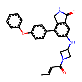 CC=CC(=O)N1CC(Nc2cc3c(c(-c4ccc(Oc5ccccc5)cc4)c2)CNC3=O)C1